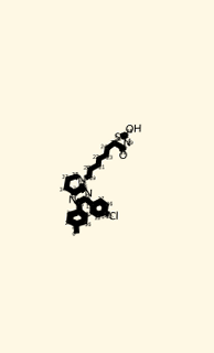 Cc1ccc(-c2nc3c(nc2-c2ccc(Cl)cc2)N(CCCCCCC2SC(O)=NC2=O)CCC3)cc1